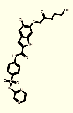 O=C(COc1cc2[nH]c(C(=O)Nc3ccc(S(=O)(=O)Nc4cnccn4)cc3)cc2cc1Cl)NCCO